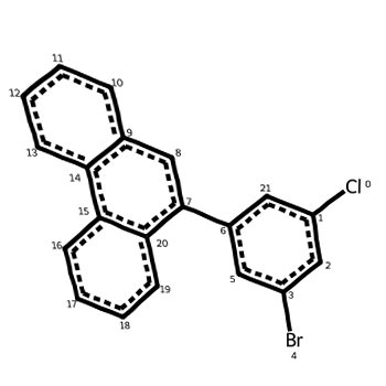 Clc1cc(Br)cc(-c2cc3ccccc3c3ccccc23)c1